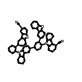 N#Cc1ccc2sc3ccc(-c4ccccc4-n4c5ccccc5c5cc(-c6ccc(-n7c8ccccc8c8c(C#N)cccc87)c(-c7ccc8oc9ccccc9c8c7)c6)ccc54)cc3c2c1